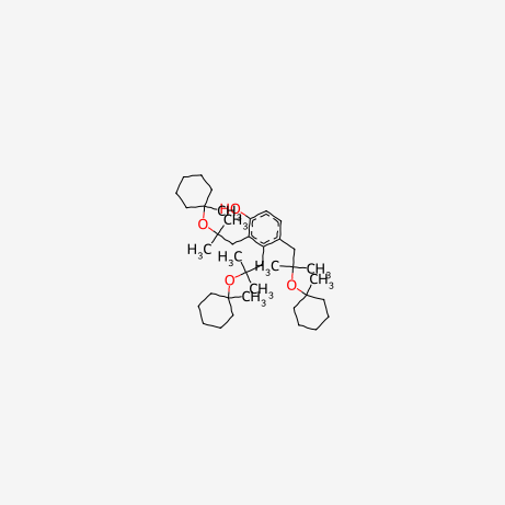 CC(C)(Cc1ccc(O)c(CC(C)(C)OC2(C)CCCCC2)c1CC(C)(C)OC1(C)CCCCC1)OC1(C)CCCCC1